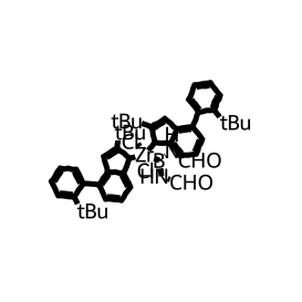 CC(C)(C)C1=Cc2c(-c3ccccc3C(C)(C)C)cccc2[CH]1[Zr]([Cl])([Cl])([B](NC=O)NC=O)[CH]1C(C(C)(C)C)=Cc2c(-c3ccccc3C(C)(C)C)cccc21